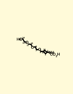 O=C(O)NC1CC(COCCOCCOCCO)C1